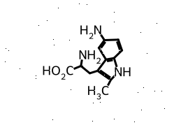 Cc1[nH]c2ccc(N)cc2c1CC(N)C(=O)O